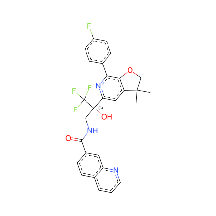 CC1(C)COc2c1cc([C@@](O)(CNC(=O)c1ccc3cccnc3c1)C(F)(F)F)nc2-c1ccc(F)cc1